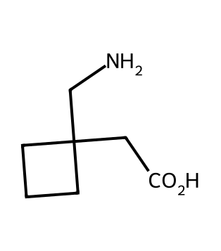 NCC1(CC(=O)O)CCC1